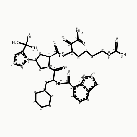 CC(C)(O)c1cnnn1[C@H]1C[C@@H](C(=O)NC(CCCCNC(=O)O)C(=O)C(N)=O)N(C(=O)C(CC2CCCCC2)NC(=O)c2cccc3cn[nH]c23)C1